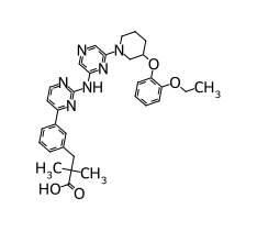 CCOc1ccccc1OC1CCCN(c2cncc(Nc3nccc(-c4cccc(CC(C)(C)C(=O)O)c4)n3)n2)C1